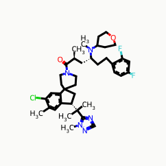 Cc1cc2c(cc1Cl)C1(CCN(C(=O)[C@@H](C)C[C@@H](CCc3ccc(F)cc3F)N(C)C3CCOCC3)CC1)C[C@@H]2C(C)(C)c1ncnn1C